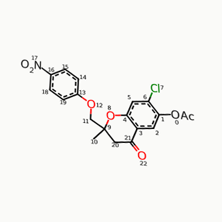 CC(=O)Oc1cc2c(cc1Cl)OC(C)(COc1ccc([N+](=O)[O-])cc1)CC2=O